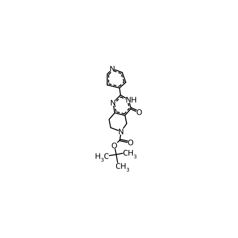 CC(C)(C)OC(=O)N1CCc2nc(-c3ccncc3)[nH]c(=O)c2C1